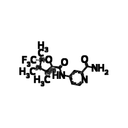 C[C@H]1[C@H](C(=O)Nc2ccnc(C(N)=O)c2)O[C@@](C)(C(F)(F)F)[C@H]1C